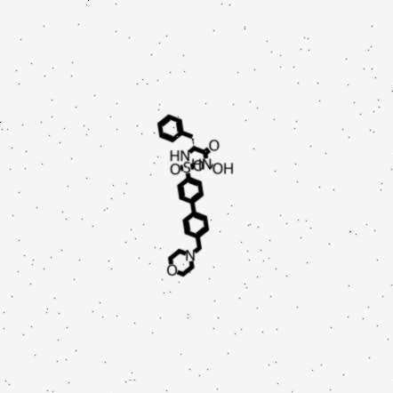 O=C(NO)[C@@H](Cc1ccccc1)NS(=O)(=O)c1ccc(-c2ccc(CN3CCOCC3)cc2)cc1